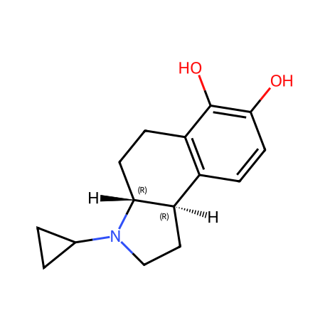 Oc1ccc2c(c1O)CC[C@@H]1[C@@H]2CCN1C1CC1